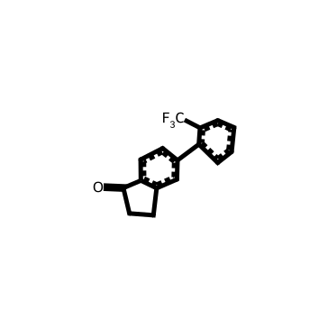 O=C1CCc2cc(-c3ccccc3C(F)(F)F)ccc21